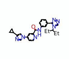 CCC(CC)n1cnnc1-c1cccc(NC(=O)c2cc(-n3cnc(C4CC4)c3)ccn2)c1